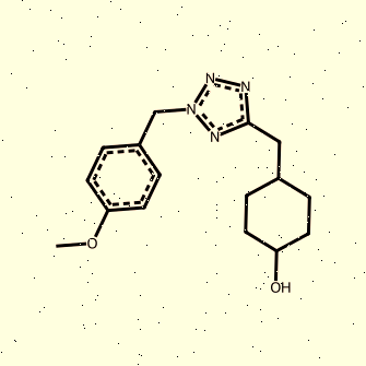 COc1ccc(Cn2nnc(CC3CCC(O)CC3)n2)cc1